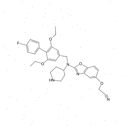 CCOc1cc(CN(c2nc3cc(OCC#N)ccc3o2)C2CCNCC2)cc(OCC)c1-c1ccc(F)cc1